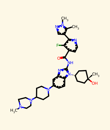 Cc1c(-c2nccc(C(=O)Nc3nc4cc(N5CCC(N6CCN(C)CC6)CC5)ccc4n3[C@H]3CC[C@@](C)(O)CC3)c2F)cnn1C